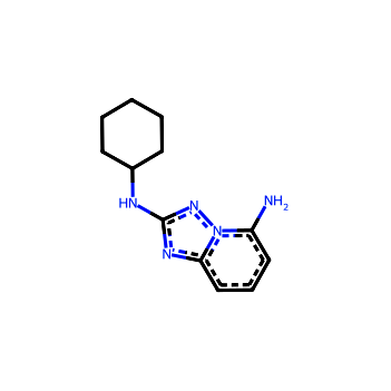 Nc1cccc2nc(NC3CCCCC3)nn12